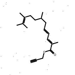 C#CCOC(=O)C(C)=CC=CCC(C)CCC(C)=C(C)C